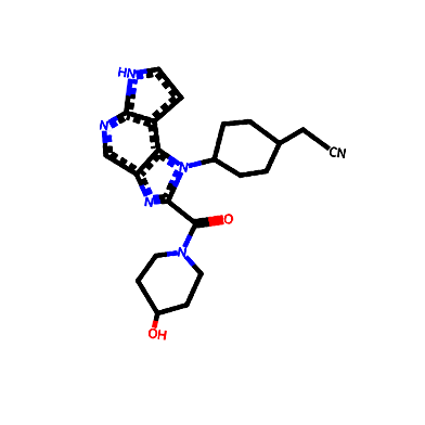 N#CCC1CCC(n2c(C(=O)N3CCC(O)CC3)nc3cnc4[nH]ccc4c32)CC1